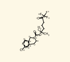 CC(C)(CCCC(=O)C(F)(F)F)OC(=O)N1CCc2cc(Cl)ncc2C1